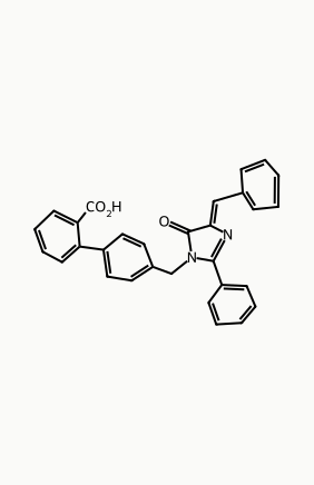 O=C(O)c1ccccc1-c1ccc(CN2C(=O)C(=Cc3ccccc3)N=C2c2ccccc2)cc1